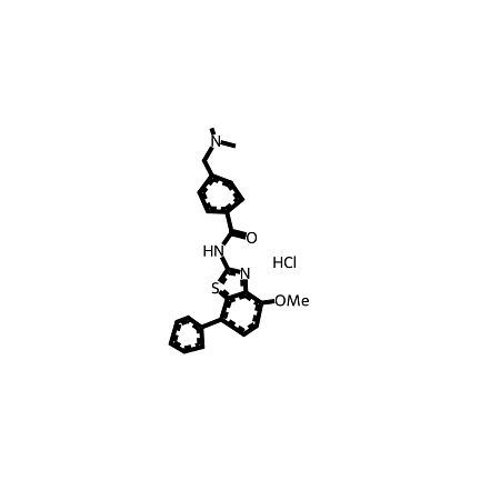 COc1ccc(-c2ccccc2)c2sc(NC(=O)c3ccc(CN(C)C)cc3)nc12.Cl